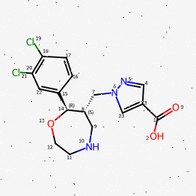 O=C(O)c1cnn(C[C@@H]2CNCCO[C@H]2c2ccc(Cl)c(Cl)c2)c1